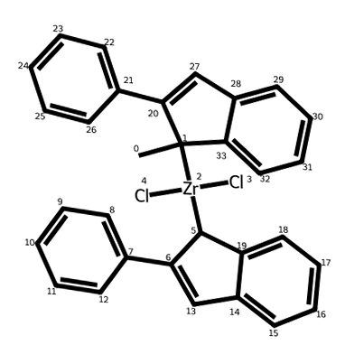 C[C]1([Zr]([Cl])([Cl])[CH]2C(c3ccccc3)=Cc3ccccc32)C(c2ccccc2)=Cc2ccccc21